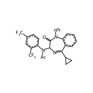 CCCN1C(=O)C(N(C(C)=O)c2ccc(C(F)(F)F)cc2C(F)(F)F)N=C(C2CC2)c2ccccc21